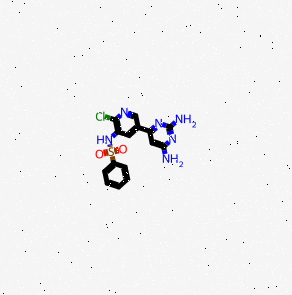 Nc1cc(-c2cnc(Cl)c(NS(=O)(=O)c3ccccc3)c2)nc(N)n1